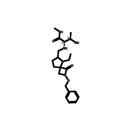 CCN1C(CN[C@H](C(=O)NC)[C@@H](C)O)CCC12CN(OCc1ccccc1)C2=O